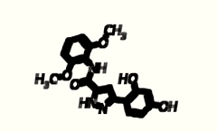 COc1cccc(OC)c1NC(=O)c1cc(-c2ccc(O)cc2O)n[nH]1